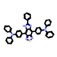 c1ccc(-c2nc3c(-c4ccc(N(c5ccccc5)c5ccccc5)cc4)c4nsnc4c(-c4ccc(N(c5ccccc5)c5ccccc5)cc4)c3[nH]2)cc1